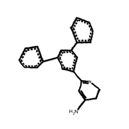 NC1=CC(c2cc(-c3ccccc3)cc(-c3ccccc3)c2)=NCC1